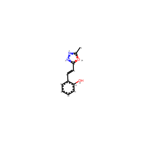 Cc1nnc(C=Cc2ccccc2O)o1